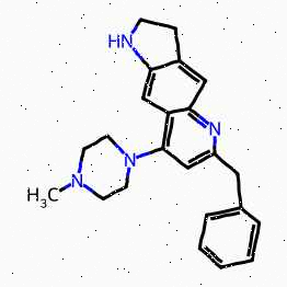 CN1CCN(c2cc(Cc3ccccc3)nc3cc4c(cc23)NCC4)CC1